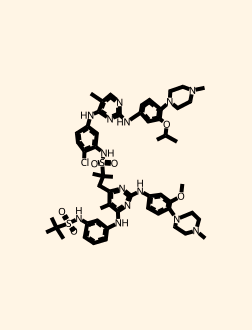 COc1cc(Nc2nc(CC(C)(C)S(=O)(=O)Nc3cc(Nc4nc(Nc5ccc(N6CCN(C)CC6)c(OC(C)C)c5)ncc4C)ccc3Cl)c(C)c(Nc3cccc(NS(=O)(=O)C(C)(C)C)c3)n2)ccc1N1CCN(C)CC1